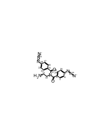 [N-]=[N+]=Nc1ccc(C(=O)N(CCN)C(=O)c2ccc(N=[N+]=[N-])cc2)cc1